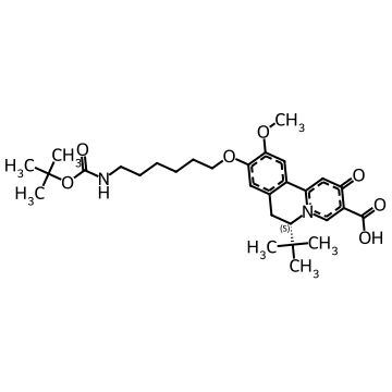 COc1cc2c(cc1OCCCCCCNC(=O)OC(C)(C)C)C[C@@H](C(C)(C)C)n1cc(C(=O)O)c(=O)cc1-2